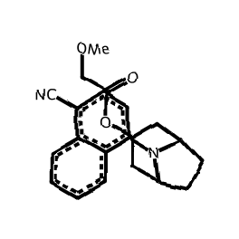 COCC(=O)OC1CC2CCC(C1)N2c1ccc(C#N)c2ccccc12